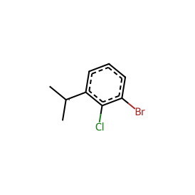 C[C](C)c1cccc(Br)c1Cl